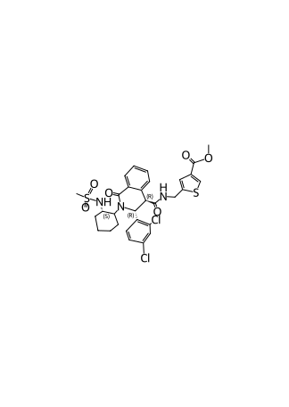 COC(=O)c1csc(CNC(=O)[C@@H]2c3ccccc3C(=O)N(C3CCCC[C@@H]3NS(C)(=O)=O)[C@H]2c2ccc(Cl)cc2Cl)c1